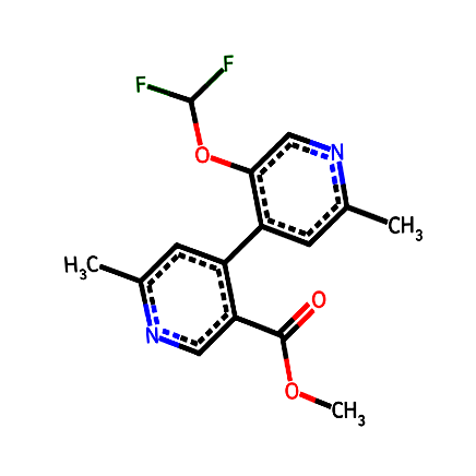 COC(=O)c1cnc(C)cc1-c1cc(C)ncc1OC(F)F